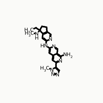 CCC1(NC)CCc2cnc(Nc3cc4cc(-c5cnnn5C)nc(N)c4cn3)cc21